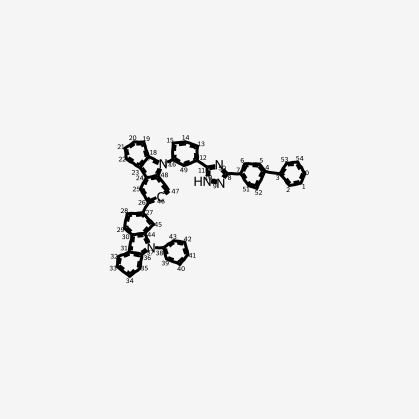 c1ccc(-c2ccc(-c3n[nH]c(-c4cccc(-n5c6ccccc6c6cc(-c7ccc8c9ccccc9n(-c9ccccc9)c8c7)ccc65)c4)n3)cc2)cc1